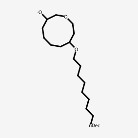 [CH2]CCCCCCCCCCCCCCCCCOC1CCCCC([O])COCC1